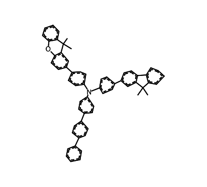 CC1(C)c2ccccc2Oc2ccc(-c3ccc(N(c4ccc(-c5ccc(-c6ccccc6)cc5)cc4)c4ccc(-c5ccc6c(c5)C(C)(C)c5ccccc5-6)cc4)cc3)cc21